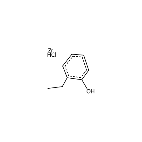 CCc1ccccc1O.Cl.[Zr]